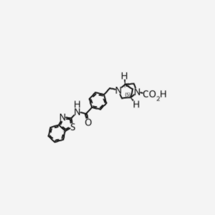 O=C(Nc1nc2ccccc2s1)c1ccc(CN2C[C@@H]3C[C@H]2CN3C(=O)O)cc1